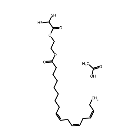 CC(=O)O.CC/C=C\C/C=C\C/C=C\CCCCCCCC(=O)OCCOC(=O)C(S)S